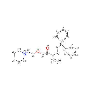 O=C(O)C(CCC(c1ccccc1)c1ccccc1)C(=O)COCCN1CCCCC1